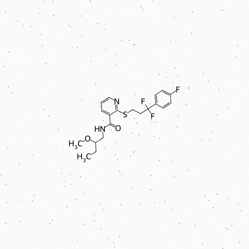 CCC(CNC(=O)c1cccnc1SCCC(F)(F)c1ccc(F)cc1)OC